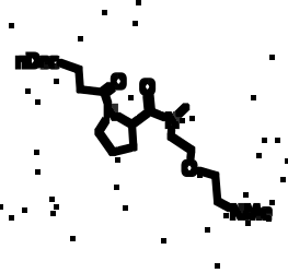 CCCCCCCCCCCCC(=O)N1CCCC1C(=O)N(C)CCOCCNC